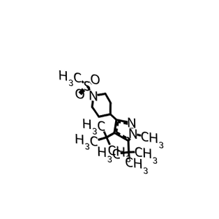 Cn1nc(C2CCN(S(C)(=O)=O)CC2)c(C(C)(C)C)c1C(C)(C)C